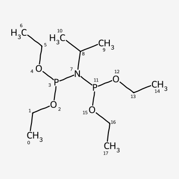 CCOP(OCC)N(C(C)C)P(OCC)OCC